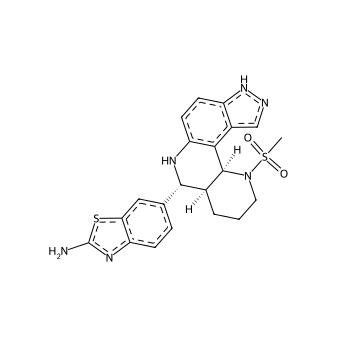 CS(=O)(=O)N1CCC[C@@H]2[C@H]1c1c(ccc3[nH]ncc13)N[C@H]2c1ccc2nc(N)sc2c1